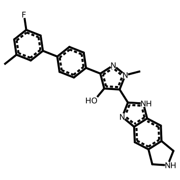 Cc1cc(F)cc(-c2ccc(-c3nn(C)c(-c4nc5cc6c(cc5[nH]4)CNC6)c3O)cc2)c1